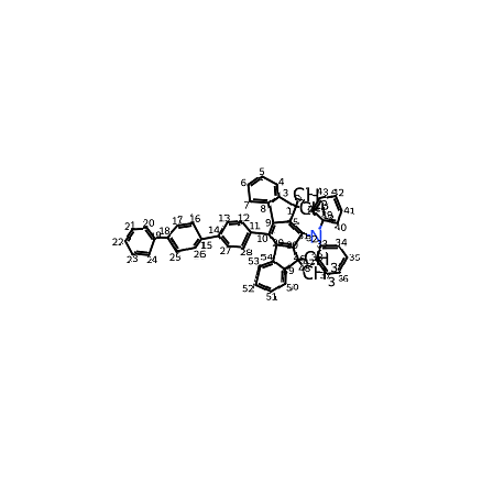 CC1(C)c2ccccc2-c2c(-c3ccc(-c4ccc(-c5ccccc5)cc4)cc3)c3c(c(N(c4ccccc4)c4ccccc4)c21)C(C)(C)c1ccccc1-3